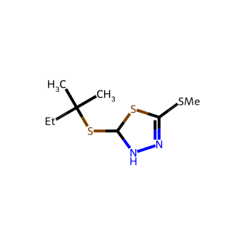 CCC(C)(C)SC1NN=C(SC)S1